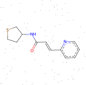 O=C(C=Cc1ccccn1)NC1CCSC1